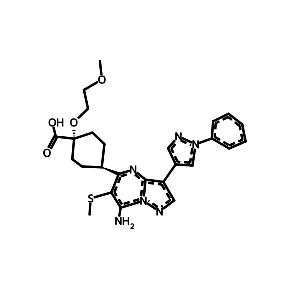 COCCO[C@]1(C(=O)O)CC[C@@H](c2nc3c(-c4cnn(-c5ccccc5)c4)cnn3c(N)c2SC)CC1